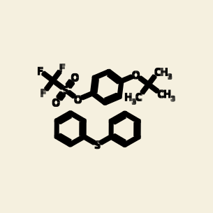 CC(C)(C)Oc1ccc(OS(=O)(=O)C(F)(F)F)cc1.c1ccc(Sc2ccccc2)cc1